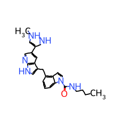 CCCCNC(=O)n1ccc2c(Cc3c[nH]c4ncc(/C(C=N)=C/NC)cc34)cccc21